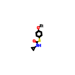 CCOc1ccc(SC(=O)NC2CC2)cc1